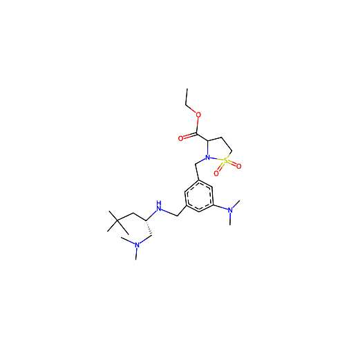 CCOC(=O)C1CCS(=O)(=O)N1Cc1cc(CN[C@H](CN(C)C)CC(C)(C)C)cc(N(C)C)c1